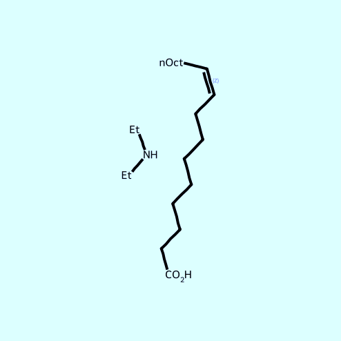 CCCCCCCC/C=C\CCCCCCCC(=O)O.CCNCC